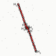 COCCOCCOCCOCCOCCOCCOCCOCCOCCOCCOCCOCCC(=O)NCCNC(=O)c1nc(N)c(C(=O)NCCNC(=O)CCOCCOCCOCCOCCOCCOCCOCCOCCOCCOCCOCCOC)nc1N